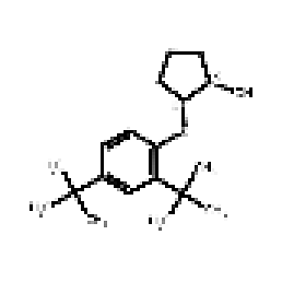 CC(C)(C)c1ccc(S[C@H]2CCC[C@H]2O)c(C(C)(C)C)c1